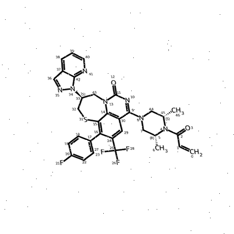 C=CC(=O)N1[C@H](C)CN(c2nc(=O)n3c4c(c(-c5ccc(F)cc5)c(C(F)(F)F)cc24)SC[C@@H](n2ncc4cccnc42)C3)C[C@@H]1C